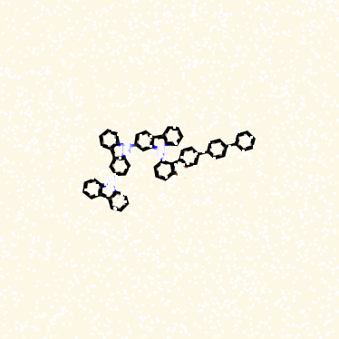 c1ccc(-c2ccc(-c3ccc4c(c3)sc3cccc(-n5c6ccccc6c6ccc(-n7c8ccccc8c8cc(-n9c%10ccccc%10c%10ccccc%109)ccc87)cc65)c34)cc2)cc1